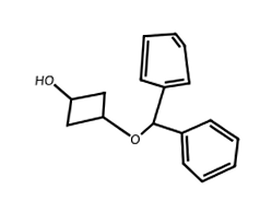 OC1CC(OC(c2ccccc2)c2ccccc2)C1